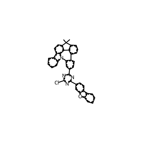 CC1(C)c2cccc3c2-c2c1ccc1c4ccccc4n(c21)-c1cc(-c2nc(Cl)nc(-c4ccc5c(c4)oc4ccccc45)n2)ccc1-3